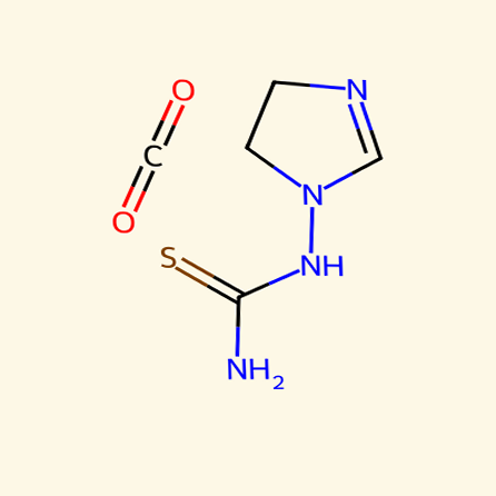 NC(=S)NN1C=NCC1.O=C=O